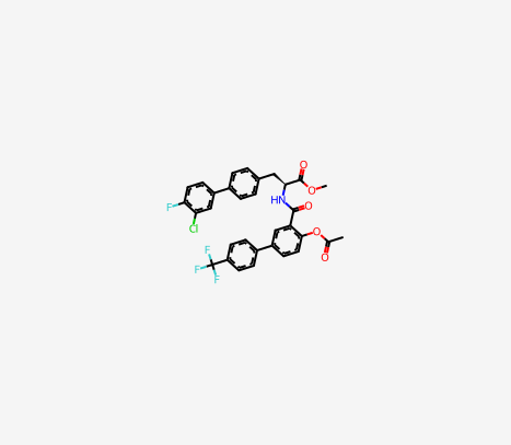 COC(=O)[C@H](Cc1ccc(-c2ccc(F)c(Cl)c2)cc1)NC(=O)c1cc(-c2ccc(C(F)(F)F)cc2)ccc1OC(C)=O